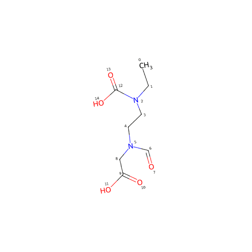 CCN(CCN(C=O)CC(=O)O)C(=O)O